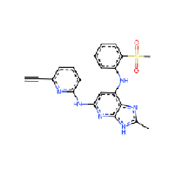 C#Cc1cccc(Nc2cc(Nc3ccccc3S(C)(=O)=O)c3nc(C)[nH]c3n2)n1